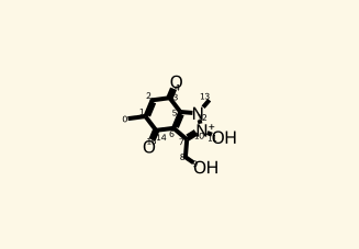 CC1=CC(=O)c2c(c(CO)[n+](O)n2C)C1=O